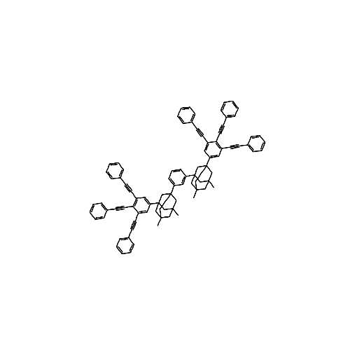 CC12CC3(C)CC(c4cccc(C56CC7(C)CC(C)(C5)CC(c5cc(C#Cc8ccccc8)c(C#Cc8ccccc8)c(C#Cc8ccccc8)c5)(C7)C6)c4)(C1)CC(c1cc(C#Cc4ccccc4)c(C#Cc4ccccc4)c(C#Cc4ccccc4)c1)(C2)C3